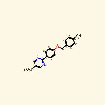 CCCCCCCCc1cnc(-c2ccc(OCc3ccc(C#N)cc3)cc2)nc1